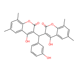 Cc1cc(C)c2oc(=O)c(C(c3cccc(O)c3)c3c(O)c4cc(C)cc(C)c4oc3=O)c(O)c2c1